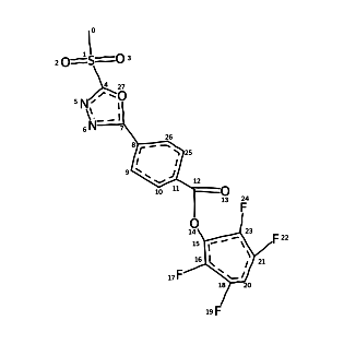 CS(=O)(=O)c1nnc(-c2ccc(C(=O)Oc3c(F)c(F)cc(F)c3F)cc2)o1